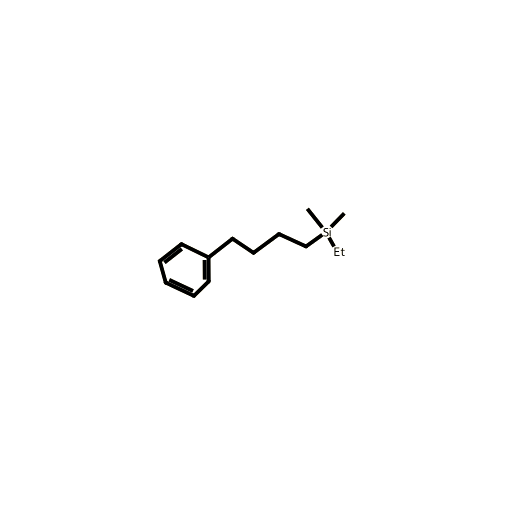 [CH2]C[Si](C)(C)CCCCc1ccccc1